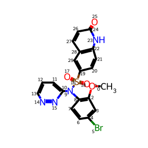 COc1cc(Br)ccc1N(c1cccnn1)S(=O)(=O)c1ccc2[nH]c(=O)ccc2c1